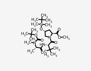 COC(=O)[C@@H]1C[C@@H](O[Si](C)(C)C(C)(C)C)CN1C(=O)[C@@H](NC(=O)[C@H](C)N(C)C(=O)OC(C)(C)C)C(C)(C)C